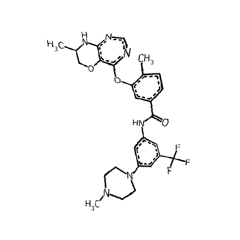 Cc1ccc(C(=O)Nc2cc(N3CCN(C)CC3)cc(C(F)(F)F)c2)cc1Oc1ncnc2c1OCC(C)N2